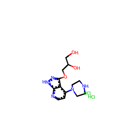 Cl.Cl.OCC(O)COc1n[nH]c2nccc(N3CCNCC3)c12